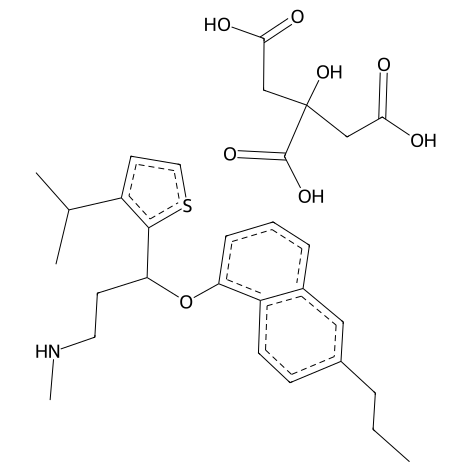 CCCc1ccc2c(OC(CCNC)c3sccc3C(C)C)cccc2c1.O=C(O)CC(O)(CC(=O)O)C(=O)O